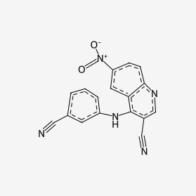 N#Cc1cccc(Nc2c(C#N)cnc3ccc([N+](=O)[O-])cc23)c1